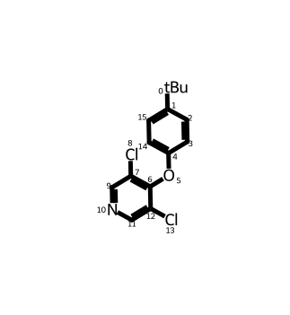 CC(C)(C)c1ccc(Oc2c(Cl)cncc2Cl)cc1